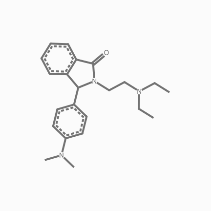 CCN(CC)CCN1C(=O)c2ccccc2C1c1ccc(N(C)C)cc1